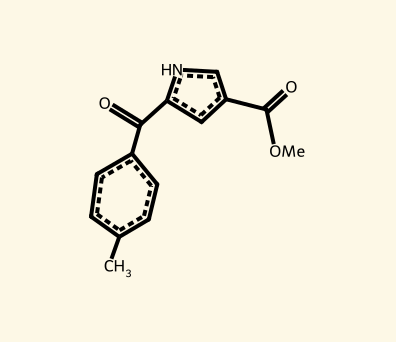 COC(=O)c1c[nH]c(C(=O)c2ccc(C)cc2)c1